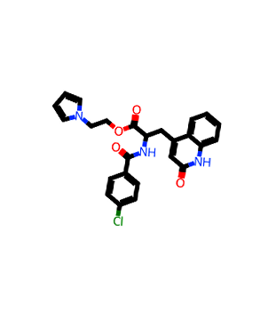 O=C(NC(Cc1cc(=O)[nH]c2ccccc12)C(=O)OCCn1cccc1)c1ccc(Cl)cc1